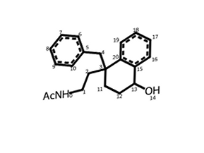 CC(=O)NCCC1(Cc2ccccc2)CCC(O)c2ccccc21